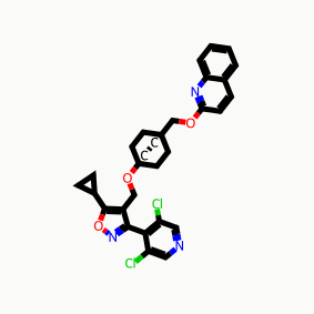 Clc1cncc(Cl)c1-c1noc(C2CC2)c1COC12CCC(COc3ccc4ccccc4n3)(CC1)CC2